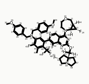 [2H]C([2H])(Oc1nc(N2CCOC[C@H]3[C@H](F)[C@H]32)c2cnc(-c3cc(N(Cc4ccc(OC)cc4)Cc4ccc(OC)cc4)c(F)c(C)c3C(F)(F)F)c(F)c2n1)[C@@]12CCCN1C[C@H](F)C2